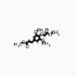 COC(=O)/C=C/c1cc(OC)c(OCC(=O)OC)c(OC)c1